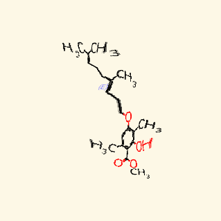 COC(=O)c1c(C)cc(OCC/C=C(\C)CCC=C(C)C)c(C)c1O